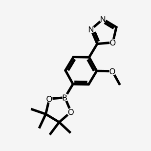 COc1cc(B2OC(C)(C)C(C)(C)O2)ccc1-c1nnco1